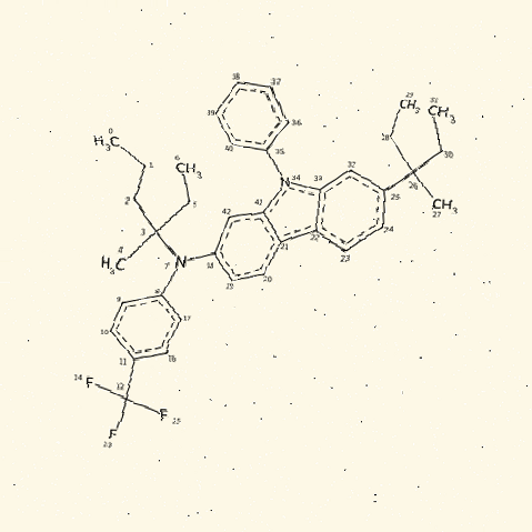 CCCC(C)(CC)N(c1ccc(C(F)(F)F)cc1)c1ccc2c3ccc(C(C)(CC)CC)cc3n(-c3ccccc3)c2c1